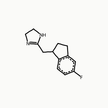 Fc1ccc2c(c1)CCC2CC1=NCCN1